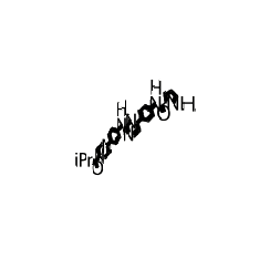 CC(C)C(=O)N1CCN(c2ccc(Nc3nccc(-c4ccc(NC(=O)[C@H]5CCCN5)cc4)n3)cc2)CC1